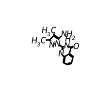 Cc1nn(-c2nc3ccccc3c(=O)[nH]2)c(N)c1C